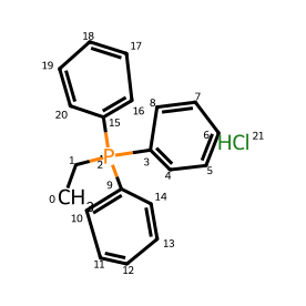 CC[P](c1ccccc1)(c1ccccc1)c1ccccc1.Cl